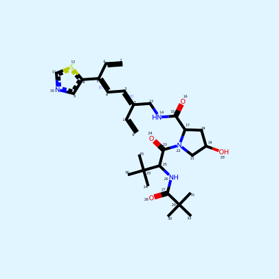 C=C/C(=C\C=C(/C=C)c1cncs1)CNC(=O)C1CC(O)CN1C(=O)C(NC(=O)C(C)(C)C)C(C)(C)C